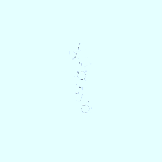 Cc1cc2c(cc1F)OCC(C(=O)NCc1ccc3c(c1)CN(C1CCC(=O)NC1=O)C3=O)=C2